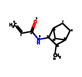 C=CC(=O)NC1C2CCC(C2)C1C